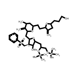 C=C1CC(CCCO)OC1CCC1CC(C)C(=C)C(CC2OC(CC(CO[Si](C)(C)C(C)(C)C)O[Si](C)(C)C(C)(C)C)C(OC)[C@H]2CS(=O)(=O)c2ccccc2)O1